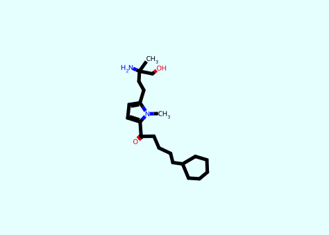 Cn1c(CCC(C)(N)CO)ccc1C(=O)CCCCC1CCCCC1